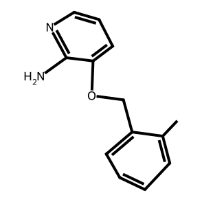 Cc1ccccc1COc1cccnc1N